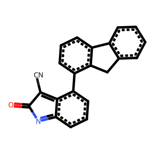 N#CC1=c2c(-c3cccc4c3Cc3ccccc3-4)cccc2=NC1=O